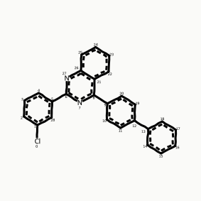 Clc1cccc(-c2nc(-c3ccc(-c4ccccc4)cc3)c3ccccc3n2)c1